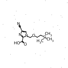 C[Si](C)(C)CCOCn1cc(C#N)nc1C(=O)O